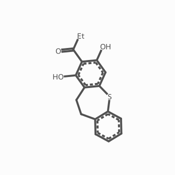 CCC(=O)c1c(O)cc2c(c1O)CCc1ccccc1S2